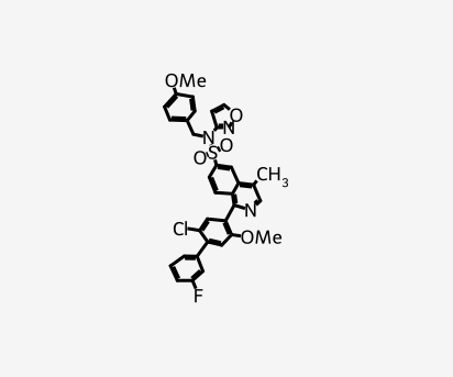 COc1ccc(CN(c2ccon2)S(=O)(=O)c2ccc3c(-c4cc(Cl)c(-c5cccc(F)c5)cc4OC)ncc(C)c3c2)cc1